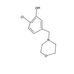 Oc1cc(CN2CCOCC2)ccc1Cl